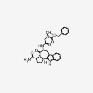 CN(CC(=O)N[C@H]1Cc2c([nH]c3ccccc23)[C@H]2CC[C@H](C(N)=O)N2C1=O)C(=O)OCc1ccccc1